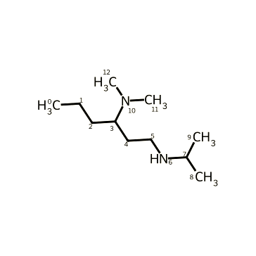 CCCC(CCNC(C)C)N(C)C